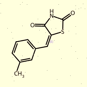 Cc1cccc(/C=C2/SC(=O)NC2=O)c1